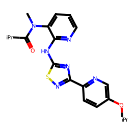 CC(C)Oc1ccc(-c2nsc(Nc3ncccc3N(C)C(=O)C(C)C)n2)nc1